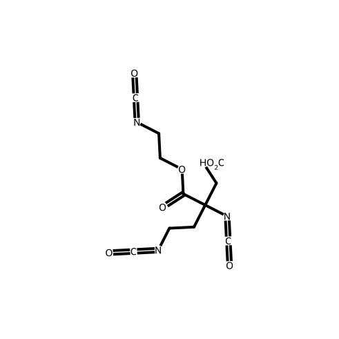 O=C=NCCOC(=O)C(CCN=C=O)(CC(=O)O)N=C=O